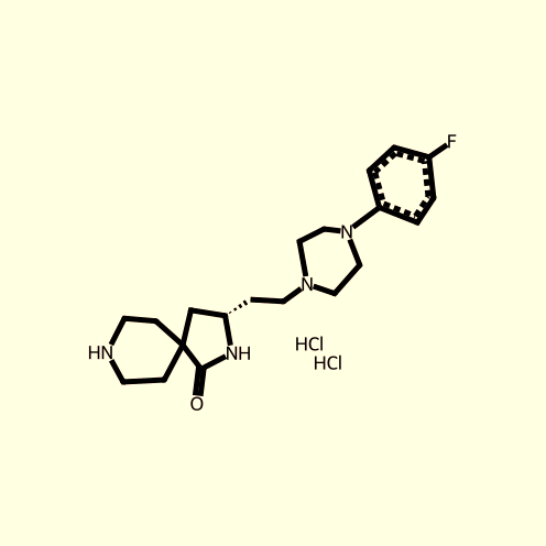 Cl.Cl.O=C1N[C@@H](CCN2CCN(c3ccc(F)cc3)CC2)CC12CCNCC2